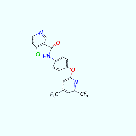 O=C(Nc1ccc(Oc2cc(C(F)(F)F)cc(C(F)(F)F)n2)cc1)c1cnccc1Cl